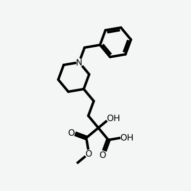 COC(=O)C(O)(CCC1CCCN(Cc2ccccc2)C1)C(=O)O